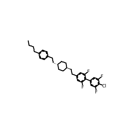 CCCCc1ccc(CC[C@H]2CC[C@H](CCc3cc(F)c(-c4cc(F)c(Cl)c(F)c4)c(F)c3)CC2)cc1